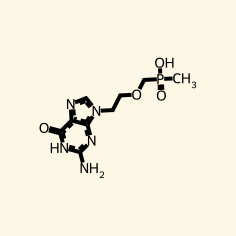 CP(=O)(O)COCCn1cnc2c(=O)[nH]c(N)nc21